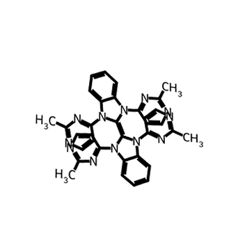 Cc1nccc(N2C(=C3N(c4ccnc(C)n4)c4ccccc4N3c3ccnc(C)n3)N(c3ccnc(C)n3)c3ccccc32)n1